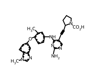 Cc1cc(Nc2nc(N)ncc2C#CC2CCCN2C(=O)O)ccc1Oc1ccc2c(c1)ncn2C